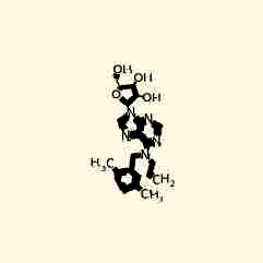 C=CCN(Cc1cc(C)ccc1C)c1ncnc2c1ncn2[C@@H]1O[C@H](CO)[C@@H](O)[C@H]1O